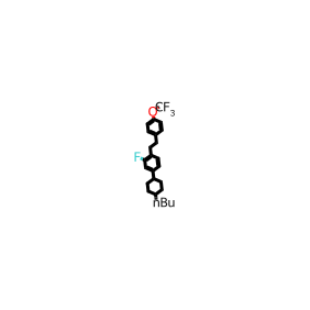 CCCCC1CCC(c2ccc(CCc3ccc(OC(F)(F)F)cc3)c(F)c2)CC1